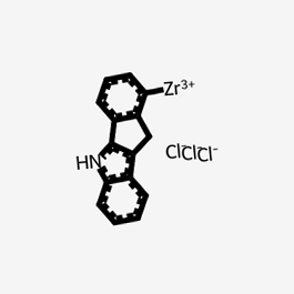 [Cl-].[Cl-].[Cl-].[Zr+3][c]1cccc2c1Cc1c-2[nH]c2ccccc12